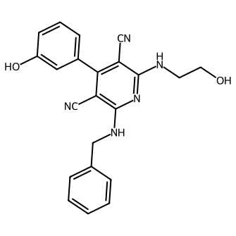 N#Cc1c(NCCO)nc(NCc2ccccc2)c(C#N)c1-c1cccc(O)c1